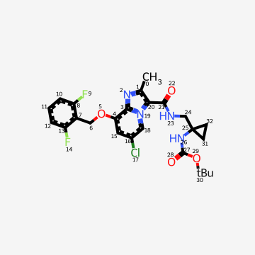 Cc1nc2c(OCc3c(F)cccc3F)cc(Cl)cn2c1C(=O)NCC1(NC(=O)OC(C)(C)C)CC1